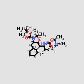 CC(C)C(CC1OC(C)(C)N(C(=O)OC(C)(C)C)C1CC1CCCCC1)NC(=O)O[C@@H](C)N(C)C